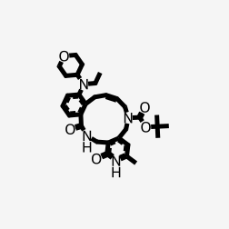 CCN(c1cccc2c1CC=CCN(C(=O)OC(C)(C)C)Cc1cc(C)[nH]c(=O)c1CNC2=O)C1CCOCC1